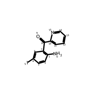 Nc1ccc(I)cc1C(=O)c1ccccn1